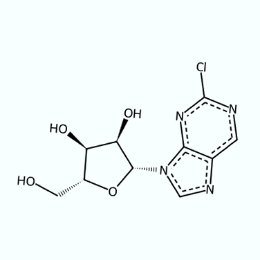 OC[C@H]1O[C@@H](n2cnc3cnc(Cl)nc32)[C@H](O)[C@@H]1O